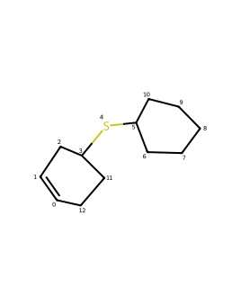 C1=CCC(SC2CCCCC2)CC1